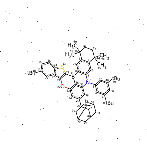 CC(C)(C)c1cc(N2c3cc4c(cc3B3c5sc6ccc(C(C)(C)C)cc6c5Oc5cc(C67CC8CC(CC(C8)C6)C7)cc2c53)C(C)(C)CCC4(C)C)cc(C(C)(C)C)c1